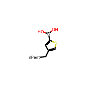 CCCCCCc1csc(B(O)O)c1